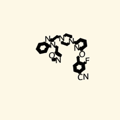 N#Cc1ccc(COc2cccc(N3CCN(Cc4nc5ccccc5n4Cc4cnco4)CC3)n2)c(F)c1